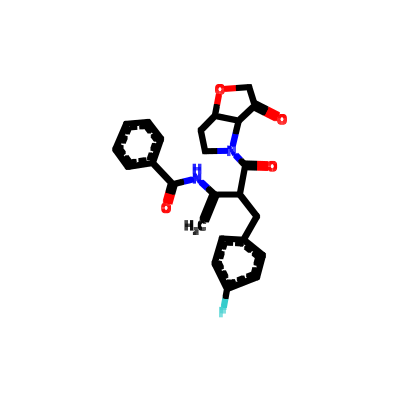 C=C(NC(=O)c1ccccc1)C(Cc1ccc(F)cc1)C(=O)N1CCC2OCC(=O)C21